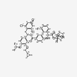 O=C(OC(Cc1c(Cl)c[n+]([O-])cc1Cl)c1ccc(OC(F)F)c(OCC2CC2)c1)c1ccc(NC(C(=O)O[C@H]2CN3CCC2CC3)c2cccc(F)c2)cc1